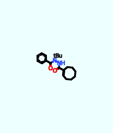 CC(C)(C)N(NC(=O)/C1=C/CCCCCC1)C(=O)c1ccccc1